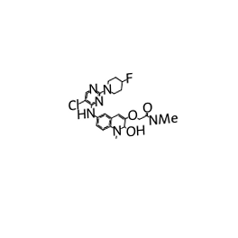 CNC(=O)COC1=Cc2cc(Nc3nc(N4CCC(F)CC4)ncc3Cl)ccc2N(C)C1O